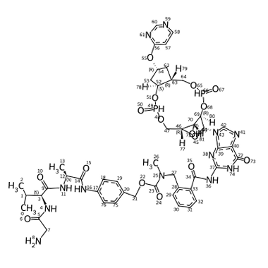 CC(C)[C@H](NC(=O)CN)C(=O)N[C@@H](C)C(=O)Nc1ccc(COC(=O)N(C)Cc2ccccc2C(=O)Nc2nc3c(ncn3[C@@H]3O[C@@H]4CO[PH](=O)O[C@H]5C[C@H](Oc6ccncn6)C[C@@H]5CO[PH](=O)O[C@@H]3[C@@H]4O)c(=O)[nH]2)cc1